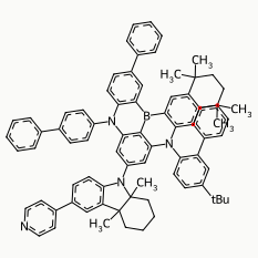 CC(C)(C)c1ccc(N2c3cc4c(cc3B3c5cc(-c6ccccc6)ccc5N(c5ccc(-c6ccccc6)cc5)c5cc(N6c7ccc(-c8ccncc8)cc7C7(C)CCCCC67C)cc2c53)C(C)(C)CCC4(C)C)c(-c2ccccc2)c1